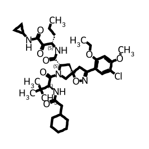 CCC[C@H](NC(=O)[C@@H]1C[C@]2(CC(c3cc(Cl)c(OC)cc3OCC)=NO2)CN1C(=O)[C@@H](NC(=O)CC1CCCCC1)C(C)(C)C)C(=O)C(=O)NC1CC1